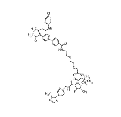 CC(=O)N1c2ccc(-c3ccc(C(=O)NCCOCCOCC(=O)NC(C(=O)N4C[C@H](O)[C@@H](F)[C@H]4C(=O)NCc4ccc(-c5scnc5C)cc4)C(C)(C)C)cc3)cc2[C@H](Nc2ccc(Cl)cc2)C[C@@H]1C